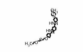 CCCOCCOCCOc1ccc(-c2nc3ccc(-c4nc5ccc(N6CCN(C)CC6)cc5[nH]4)cc3[nH]2)cc1